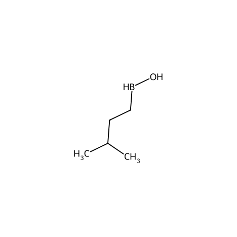 CC(C)CCBO